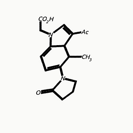 CC(=O)C1=CN(CC(=O)O)C2=CC=C(N3CCCC3=O)C(C)C12